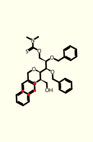 CN(C)C(=S)OC[C@@H](OCc1ccccc1)[C@@H](OCc1ccccc1)[C@H](OCc1ccccc1)[C@@H](CO)OCc1ccccc1